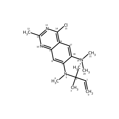 C=CC(C)(C)N(C)c1cc2nc(C)nc(Cl)c2cc1N(C)C